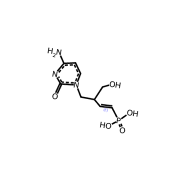 Nc1ccn(CC(/C=C/P(=O)(O)O)CO)c(=O)n1